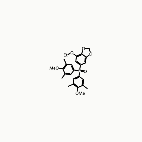 CCOc1cc(P(=O)(c2cc(C)c(OC)c(C)c2)c2cc(C)c(OC)c(C)c2)cc2c1OCO2